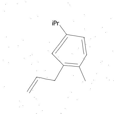 C=CCc1cc(C(C)C)ccc1C